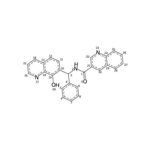 O=C(NC(c1ccccc1)c1ccc2cccnc2c1O)c1cnc2ccccc2c1